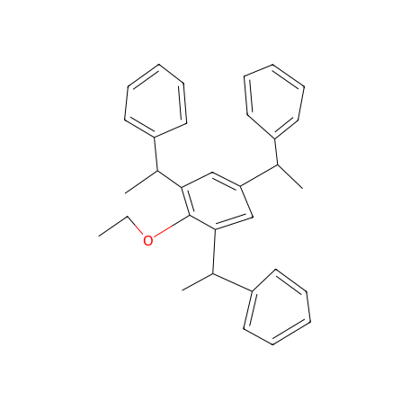 CCOc1c(C(C)c2ccccc2)cc(C(C)c2ccccc2)cc1C(C)c1ccccc1